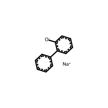 [Na+].[O-]c1ccccc1-c1ccccc1